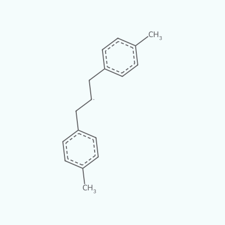 Cc1ccc(C[CH]Cc2ccc(C)cc2)cc1